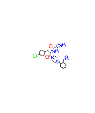 CN(C)Cc1ccccc1N1CCN(C(=O)[C@@H](Cc2ccc(Cl)cc2)NC(=O)C2CNC2)CC1